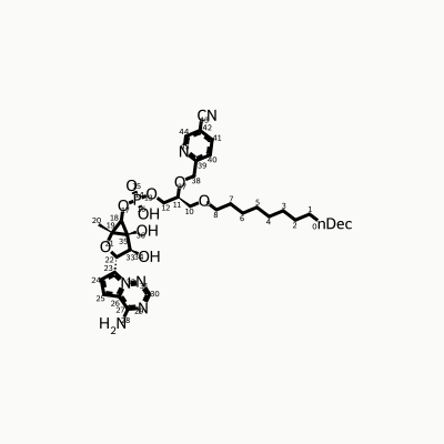 CCCCCCCCCCCCCCCCCCOC[C@@H](COP(=O)(O)OC1[C@@]2(C)O[C@@H](c3ccc4c(N)ncnn34)[C@H](O)[C@@]12O)OCc1ccc(C#N)cn1